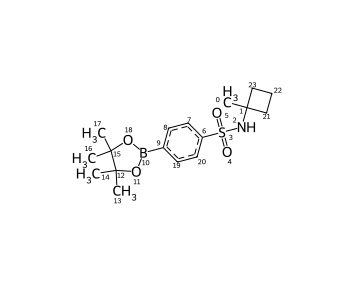 CC1(NS(=O)(=O)c2ccc(B3OC(C)(C)C(C)(C)O3)cc2)CCC1